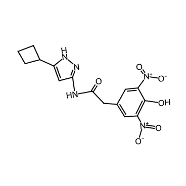 O=C(Cc1cc([N+](=O)[O-])c(O)c([N+](=O)[O-])c1)Nc1cc(C2CCC2)[nH]n1